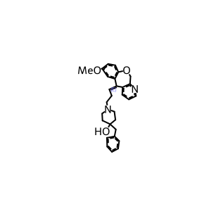 COc1ccc2c(c1)/C(=C/CCN1CCC(O)(Cc3ccccc3)CC1)c1cccnc1CO2